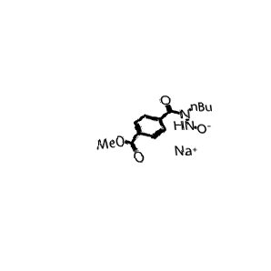 CCCCN(N[O-])C(=O)c1ccc(C(=O)OC)cc1.[Na+]